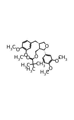 COc1ccc(C[C@H]2CO[C@H](c3ccc(OC)c(OC)c3)[C@H]2COC(=O)C(C)(C)C)cc1OC